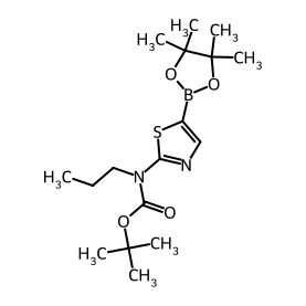 CCCN(C(=O)OC(C)(C)C)c1ncc(B2OC(C)(C)C(C)(C)O2)s1